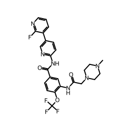 CN1CCN(CC(=O)Nc2cc(C(=O)Nc3ccc(-c4cccnc4F)cn3)ccc2OC(F)(F)F)CC1